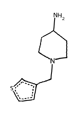 NC1CCN(Cc2ccsc2)CC1